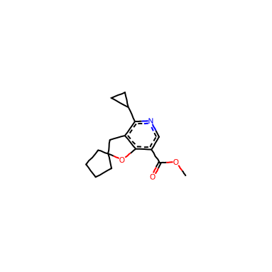 COC(=O)c1cnc(C2CC2)c2c1OC1(CCCC1)C2